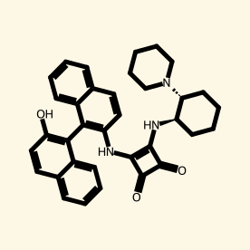 O=c1c(Nc2ccc3ccccc3c2-c2c(O)ccc3ccccc23)c(N[C@@H]2CCCC[C@H]2N2CCCCC2)c1=O